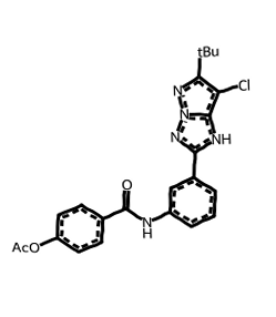 CC(=O)Oc1ccc(C(=O)Nc2cccc(-c3nn4nc(C(C)(C)C)c(Cl)c4[nH]3)c2)cc1